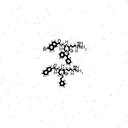 N=C(N)NCCC[C@@H]1N[C@H](CNC(=O)c2ccc3cc(Br)ccc3c2)CCN(CC(c2ccccc2)c2ccccc2)C1=O.N=C(N)NCCC[C@@H]1N[C@H](CNC(=O)c2ccc3ccccc3c2)CCN(CCc2ccccc2)C1=O